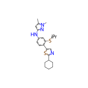 Cc1cc(Nc2ccc(-c3cnc(C4CCCCC4)s3)c(SC(C)C)c2)nn1C